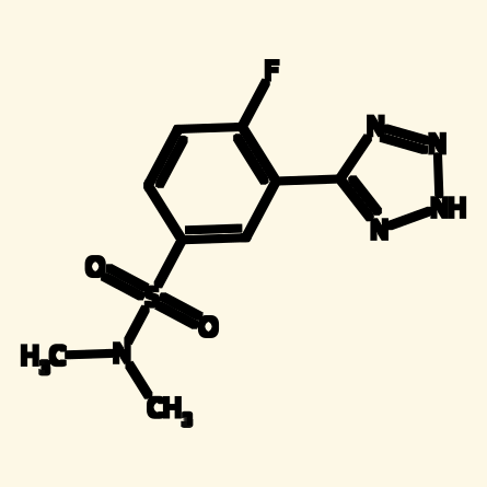 CN(C)S(=O)(=O)c1ccc(F)c(-c2nn[nH]n2)c1